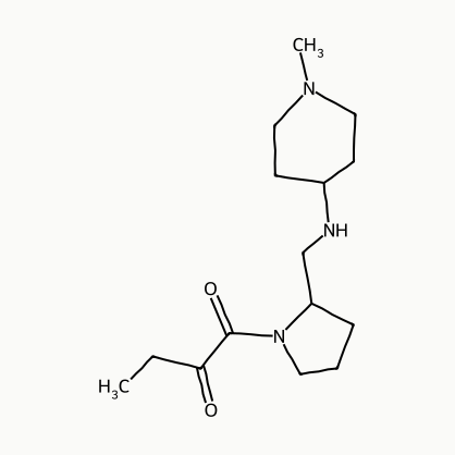 CCC(=O)C(=O)N1CCCC1CNC1CCN(C)CC1